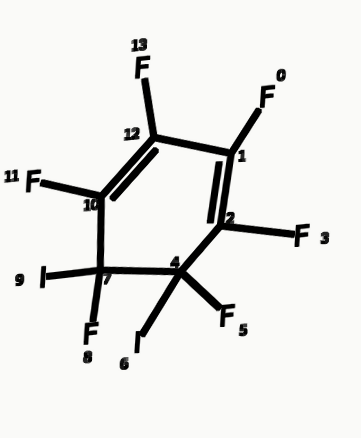 FC1=C(F)C(F)(I)C(F)(I)C(F)=C1F